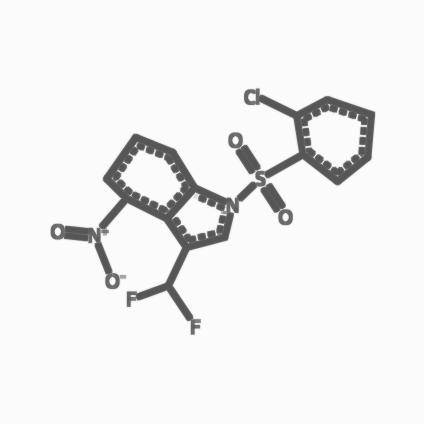 O=[N+]([O-])c1cccc2c1c(C(F)F)cn2S(=O)(=O)c1ccccc1Cl